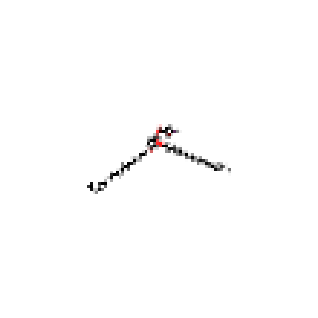 CCCCCCCCCCCCCCCCCCOc1ccc(COC(=O)c2ccc(I)cc2)c(OCCCCCCCCCCCCCCCCCC)c1